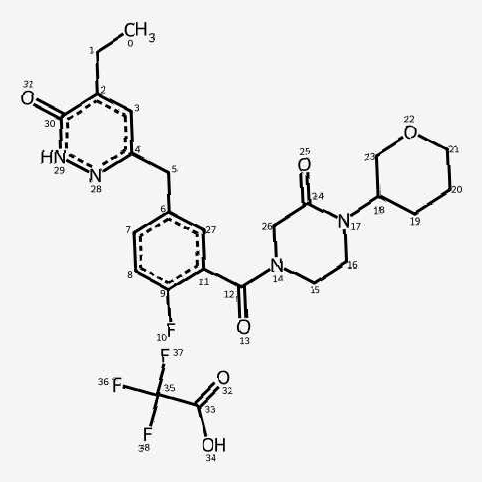 CCc1cc(Cc2ccc(F)c(C(=O)N3CCN(C4CCCOC4)C(=O)C3)c2)n[nH]c1=O.O=C(O)C(F)(F)F